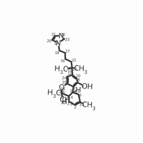 CC1=CC[C@@H]2[C@@H](C1)c1c(O)cc(C(C)(C)CCCCn3ccnc3)cc1OC2(C)C